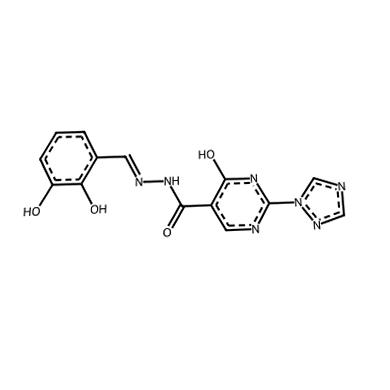 O=C(NN=Cc1cccc(O)c1O)c1cnc(-n2cncn2)nc1O